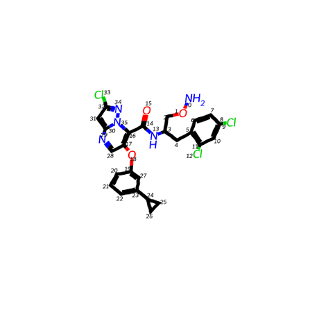 NOCC(Cc1ccc(Cl)cc1Cl)NC(=O)c1c(Oc2cccc(C3CC3)c2)cnc2cc(Cl)nn12